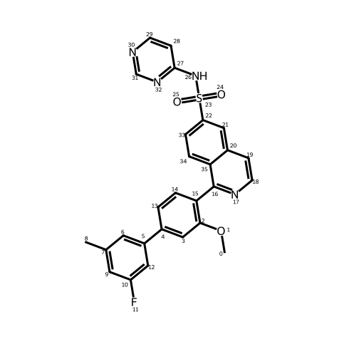 COc1cc(-c2cc(C)cc(F)c2)ccc1-c1nccc2cc(S(=O)(=O)Nc3ccncn3)ccc12